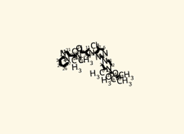 C[C@H]1CN(c2ncc(Cl)c(N3CC(C(=O)N(C)C(C)(C)c4cnc5ccccn45)C3)n2)CCN1C(=O)OC(C)(C)C